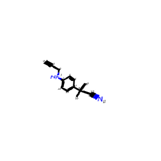 C#CCNc1ccc(C(C)(C)C#N)cc1